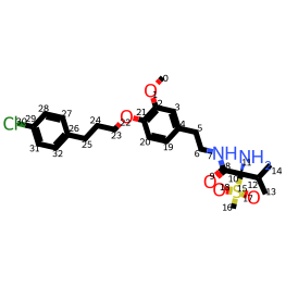 COc1cc(CCNC(=O)[C@](N)(C(C)C)S(C)(=O)=O)ccc1OCCCc1ccc(Cl)cc1